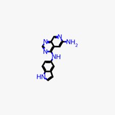 Nc1cc2c(Nc3ccc4[nH]ccc4c3)ncnc2cn1